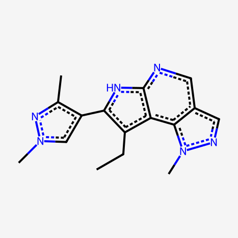 CCc1c(-c2cn(C)nc2C)[nH]c2ncc3cnn(C)c3c12